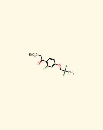 CCOC(=O)CC(=O)c1ccc(OCC(C)(F)F)cc1F